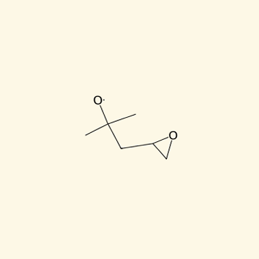 CC(C)([O])CC1CO1